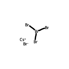 [Br-].[Br][Bi]([Br])[Br].[Cs+]